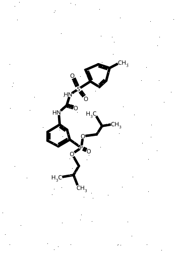 Cc1ccc(S(=O)(=O)NC(=O)Nc2cccc(P(=O)(OCC(C)C)OCC(C)C)c2)cc1